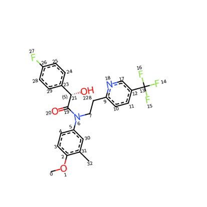 COc1ccc(N(CCc2ccc(C(F)(F)F)cn2)C(=O)[C@@H](O)c2ccc(F)cc2)cc1C